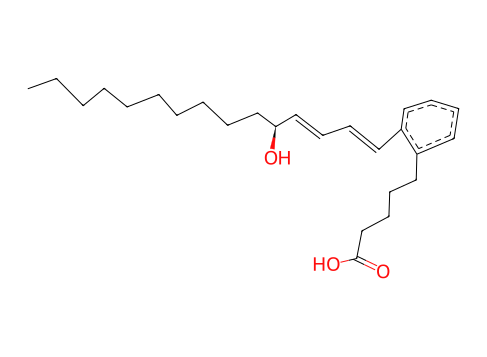 CCCCCCCCCC[C@H](O)/C=C/C=C/c1ccccc1CCCCC(=O)O